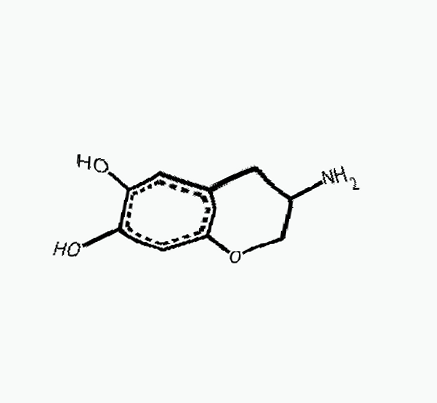 NC1COc2cc(O)c(O)cc2C1